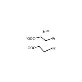 CC(C)CCC(=O)[O-].CC(C)CCC(=O)[O-].[Sn+2]